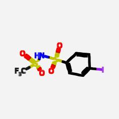 O=S(=O)(NS(=O)(=O)C(F)(F)F)c1ccc(I)cc1